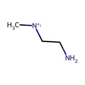 C[N+]CCN